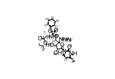 CC(C)OC(=O)[C@H](C)NP(=O)(OC[C@@]1(N=[N+]=[N-])O[C@@H](n2ccc(=S)[nH]c2=O)C(O)[C@H]1O)Oc1ccccc1